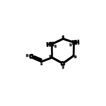 O=CC1NCNCO1